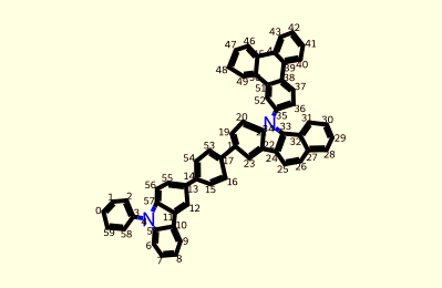 c1ccc(-n2c3ccccc3c3cc(-c4ccc(-c5ccc6c(c5)c5ccc7ccccc7c5n6-c5ccc6c7ccccc7c7ccccc7c6c5)cc4)ccc32)cc1